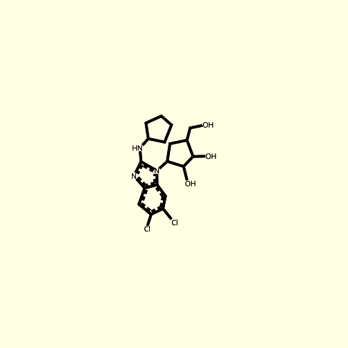 OCC1CC(n2c(NC3CCCC3)nc3cc(Cl)c(Cl)cc32)C(O)C1O